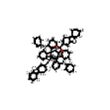 c1ccc(N2c3ccccc3C3(c4ccccc42)c2cc(-c4ccc5c(c4)oc4ccccc45)oc2C2(c4ccccc4N(c4ccccc4)c4ccccc42)c2cc(-c4ccc5c(c4)oc4ccccc45)oc23)cc1